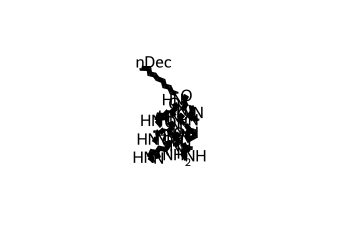 CCCCCCCCCCCCCCCCCCCCNC(=O)[C@H](Cc1c[nH]cn1)NC(=O)[C@H](Cc1c[nH]cn1)NC(=O)[C@H](CC1=CCC=N1)NC(=O)[C@H](Cc1c[nH]cn1)NC(=O)[C@H](Cc1c[nH]cn1)NC(=O)[C@@H](N)Cc1c[nH]cn1